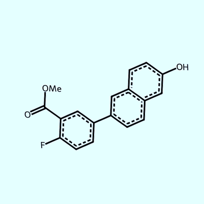 COC(=O)c1cc(-c2ccc3cc(O)ccc3c2)ccc1F